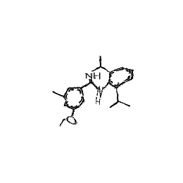 COc1cc(C)cc(C(=N)Nc2c(C(C)C)cccc2C(C)C)c1